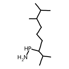 CC(C)C(C)CCCC(PN)C(C)C